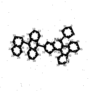 c1ccc(-c2nc3cc(-c4c5ccccc5c(-c5cccc6ccccc56)c5ccccc45)ccc3c3c4cccnc4c4ccccc4c23)cc1